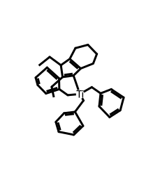 CCC1=[C]([Ti]([CH2]c2ccccc2)([CH2]c2ccccc2)[CH2]c2ccccc2)C2=C(CCCC2)C1CC